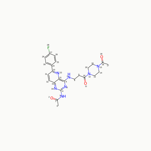 CC(=O)Nc1nc(NCCC(=O)N2CCN(C(C)=O)CC2)c2nc(-c3ccc(F)cc3)ccc2n1